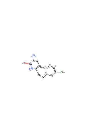 Nc1cc2c(ccc3cc(Cl)ccc32)[nH]c1=O